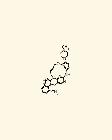 Cc1cccc(Cl)c1N1Cc2cnc3nc2N(C/C=C/COc2cc(ccc2N2CCN(C)CC2)N3)C1=O